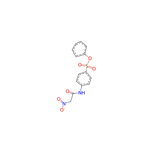 O=C(C[N+](=O)[O-])Nc1ccc(S(=O)(=O)Oc2ccccc2)cc1